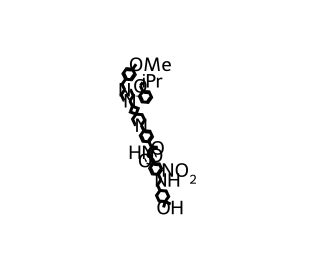 COc1ccc(CN2CCN(C3CC4(CCN(c5ccc(C(=O)NS(=O)(=O)c6ccc(NCC7CCC(C)(O)CC7)c([N+](=O)[O-])c6)cc5)CC4)C3)[C@@H](c3ccccc3OC(C)C)C2)cc1